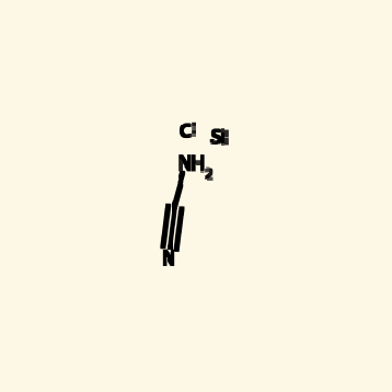 N#CN.[C].[Si]